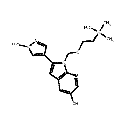 Cn1cc(-c2cc3cc(C#N)cnc3n2COCC[Si](C)(C)C)cn1